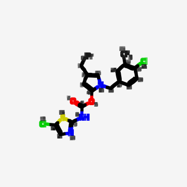 CC(C)Cc1cc(OC(=O)Nc2ncc(Cl)s2)n(Cc2ccc(Cl)c(C(F)(F)F)c2)c1